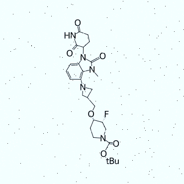 Cn1c(=O)n(C2CCC(=O)NC2=O)c2cccc(N3CC(CO[C@H]4CCN(C(=O)OC(C)(C)C)C[C@H]4F)C3)c21